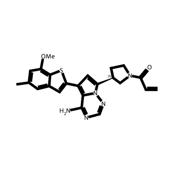 C=CC(=O)N1CC[C@H](c2cc(-c3cc4cc(C)cc(OC)c4s3)c3c(N)ncnn23)C1